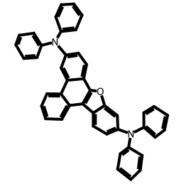 c1ccc(N(c2ccccc2)c2ccc3c(c2)oc2c4ccc(N(c5ccccc5)c5ccccc5)cc4c4ccccc4c32)cc1